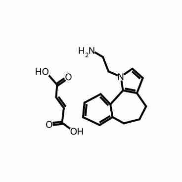 NCCn1ccc2c1-c1ccccc1CCC2.O=C(O)C=CC(=O)O